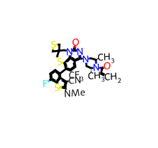 C=CC(=O)N1[C@H](C)CN(c2nc(=O)n3c4c(c(-c5ccc(F)c6sc(NC)c(C#N)c56)c(C(F)(F)F)cc24)SCC2(CSC2)C3)C[C@@H]1C